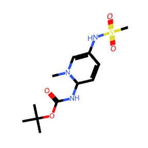 CN1C=C(NS(C)(=O)=O)C=CC1NC(=O)OC(C)(C)C